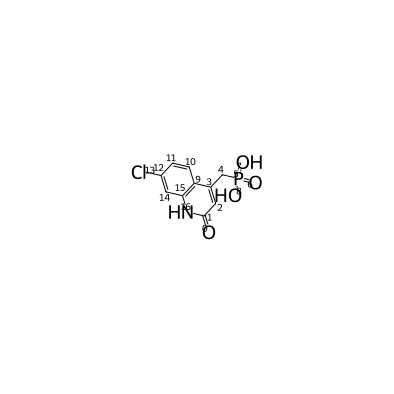 O=c1cc(CP(=O)(O)O)c2ccc(Cl)cc2[nH]1